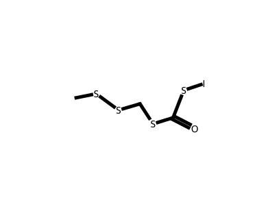 CSSCSC(=O)SI